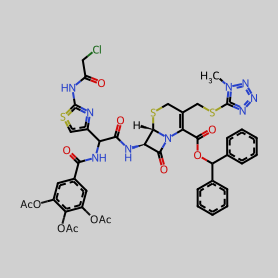 CC(=O)Oc1cc(C(=O)NC(C(=O)N[C@@H]2C(=O)N3C(C(=O)OC(c4ccccc4)c4ccccc4)=C(CSc4nnnn4C)CS[C@@H]23)c2csc(NC(=O)CCl)n2)cc(OC(C)=O)c1OC(C)=O